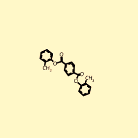 Cc1ccccc1OC(=O)c1ccc(C(=O)Oc2ccccc2C)cc1